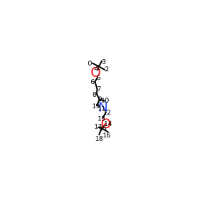 CC(C)(C)OCCCCC1CN(CCOC(C)(C)C)C1